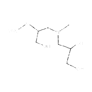 CN(CC(O)CO)CC(CO)OC=O